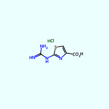 Cl.N=C(N)Nc1nc(C(=O)O)cs1